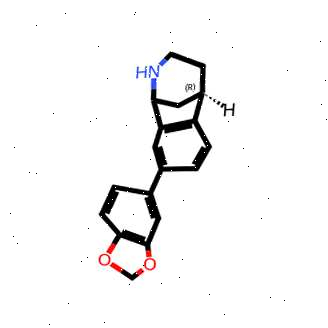 c1cc2c(cc1-c1ccc3c(c1)C1C[C@H]3CCN1)OCO2